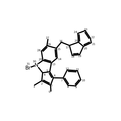 CC1=C(C)C2C(=C1c1ccccc1)c1cc(CC3C=Cc4ccccc43)c(C)cc1N2Br